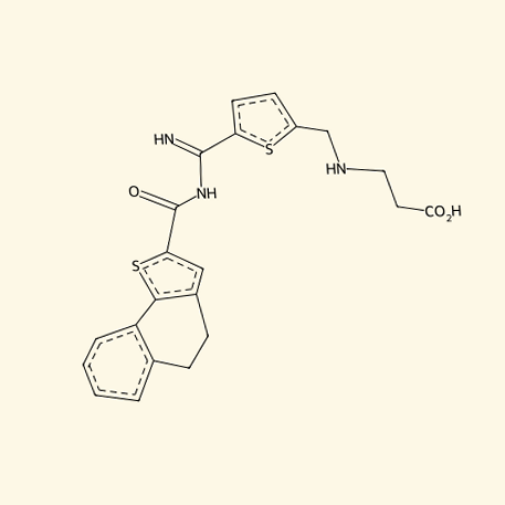 N=C(NC(=O)c1cc2c(s1)-c1ccccc1CC2)c1ccc(CNCCC(=O)O)s1